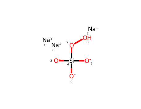 [Na+].[Na+].[Na+].[O-][Si]([O-])([O-])OO